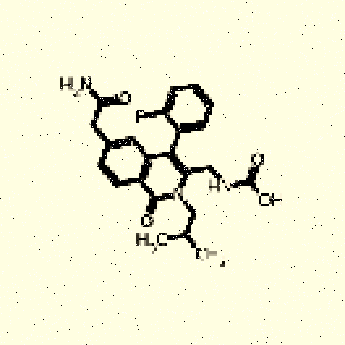 CC(C)Cn1c(CNC(=O)O)c(-c2ccccc2F)c2cc(CC(N)=O)ccc2c1=O